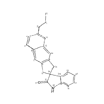 CCCc1ccc2cc3c(cc2n1)CC1(C3)C(=O)Nc2ncccc21